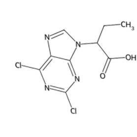 CCC(C(=O)O)n1cnc2c(Cl)nc(Cl)nc21